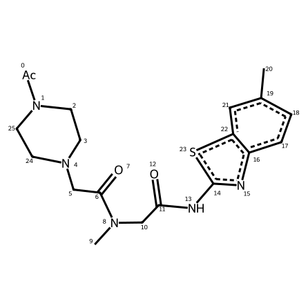 CC(=O)N1CCN(CC(=O)N(C)CC(=O)Nc2nc3ccc(C)cc3s2)CC1